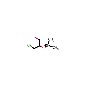 C[SiH](C)OC(CCl)CI